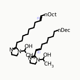 CCCCCCCC/C=C/CCCCCCCC1=NCCN1C(C)O.CCCCCCCCCCCCCCC/C=C/C1=NCCN1C(C)O